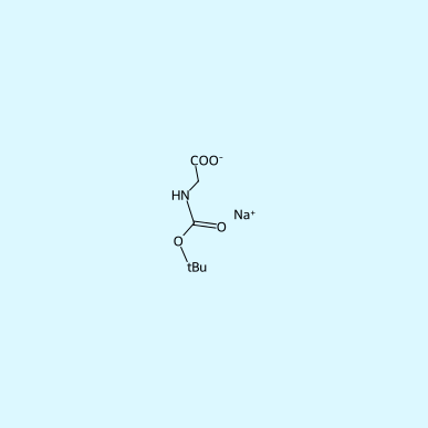 CC(C)(C)OC(=O)NCC(=O)[O-].[Na+]